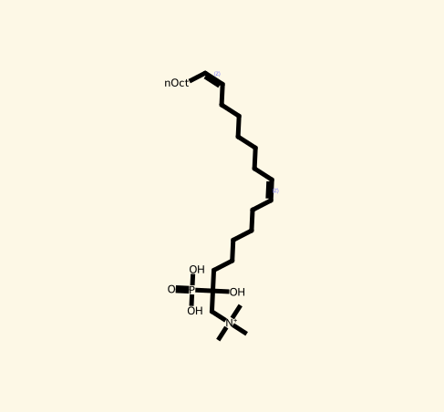 CCCCCCCC/C=C\CCCCC/C=C\CCCCCC(O)(C[N+](C)(C)C)P(=O)(O)O